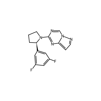 Fc1cc(F)cc([C@H]2CCCN2c2ncn3nccc3n2)c1